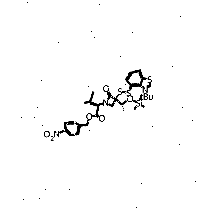 CC(C)=C(C(=O)OCc1ccc([N+](=O)[O-])cc1)N1C[C@@](SSc2cccc3scnc23)([C@@H](C)O[Si](C)(C)C(C)(C)C)C1=O